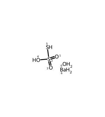 O.O=S(=O)(O)S.[BaH2]